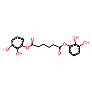 O=C(CCCCC(=O)Oc1cccc(O)c1O)Oc1cccc(O)c1O